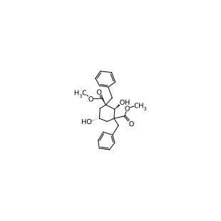 COC(=O)C1(Cc2ccccc2)C[C@H](O)CC(Cc2ccccc2)(C(=O)OC)[C@H]1O